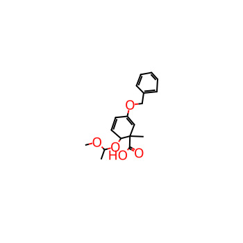 COC(C)OC1C=CC(OCc2ccccc2)=CC1(C)C(=O)O